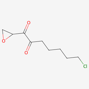 O=C(CCCCCCl)C(=O)C1CO1